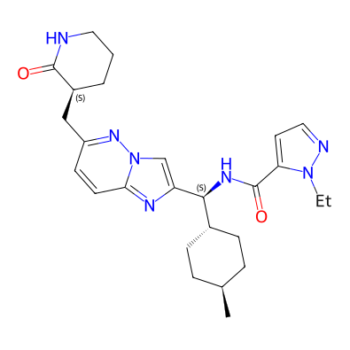 CCn1nccc1C(=O)N[C@H](c1cn2nc(C[C@@H]3CCCNC3=O)ccc2n1)[C@H]1CC[C@H](C)CC1